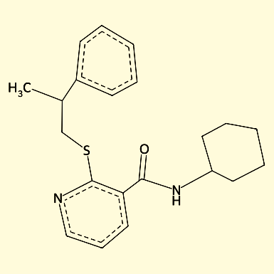 CC(CSc1ncccc1C(=O)NC1CCCCC1)c1ccccc1